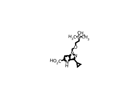 C[Si](C)(C)CCOCn1nc(C2CC2)c2[nH]c(C(=O)O)cc21